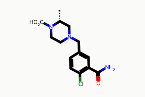 C[C@@H]1CN(Cc2ccc(Cl)c(C(N)=O)c2)CCN1C(=O)O